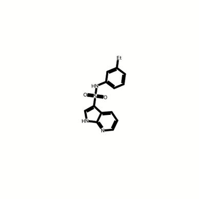 CCc1cccc(NS(=O)(=O)c2c[nH]c3ncccc23)c1